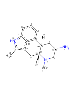 CCCN1C[C@@H](N)C[C@@H]2c3cccc4[nH]c(C)c(c34)C[C@H]21